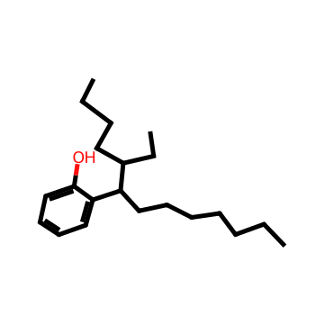 CCCCCCCC(c1ccccc1O)C(CC)CCCC